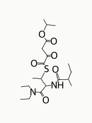 CCC(C)C(=O)NC(C(=O)N(CC)CC)C(C)SC(=O)C(=O)CC(=O)OC(C)C